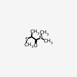 CSC(C)C(=O)N(C)C